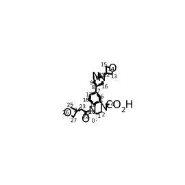 C[C@H]1CN(C(=O)O)c2cc(-c3cnn(C4COC4)c3)ccc2N1C(=O)CC1COC1